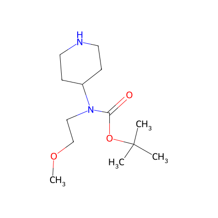 COCCN(C(=O)OC(C)(C)C)C1CCNCC1